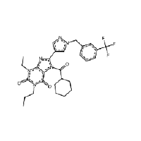 CCCn1c(=O)c2c(nc(-c3cnn(Cc4cccc(C(F)(F)F)c4)c3)n2C(=O)C2CCCCC2)n(CC)c1=O